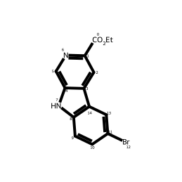 CCOC(=O)c1cc2c(cn1)[nH]c1ccc(Br)cc12